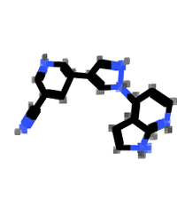 N#Cc1cncc(-c2cnn(-c3ccnc4[nH]ccc34)c2)c1